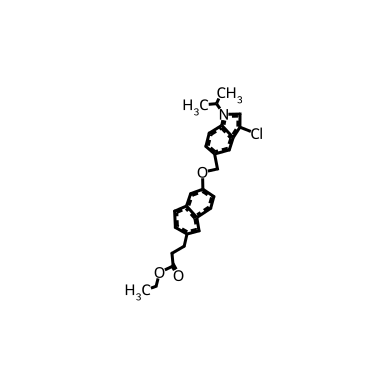 CCOC(=O)CCc1ccc2cc(OCc3ccc4c(c3)c(Cl)cn4C(C)C)ccc2c1